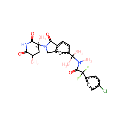 BC1C[C@](B)(N2Cc3cc(C(B)(B)N(B)C(=O)C(F)(F)c4ccc(Cl)cc4)ccc3C2=O)C(=O)NC1=O